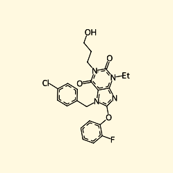 CCn1c(=O)n(CCCO)c(=O)c2c1nc(Oc1ccccc1F)n2Cc1ccc(Cl)cc1